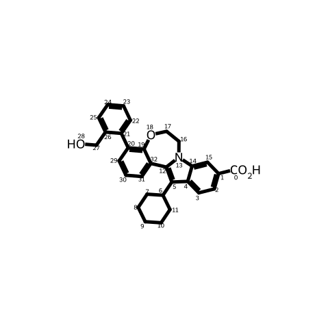 O=C(O)c1ccc2c(C3CCCCC3)c3n(c2c1)CCOc1c(-c2ccccc2CO)cccc1-3